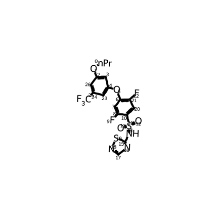 CCCOc1cc(Oc2cc(F)c(S(=O)(=O)Nc3ncns3)cc2F)cc(C(F)(F)F)c1